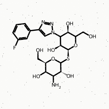 NC1C(O)[C@@H](CO)OC(S[C@@H]2OC(CO)[C@H](O)C(n3cc(-c4cccc(F)c4)nn3)[C@@H]2O)[C@@H]1O